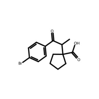 CC(C(=O)c1ccc(Br)cc1)C1(C(=O)O)CCCC1